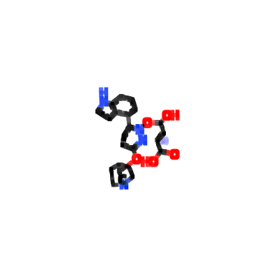 O=C(O)/C=C/C(=O)O.c1cc(-c2ccc(OC3CN4CCC3CC4)nn2)c2cc[nH]c2c1